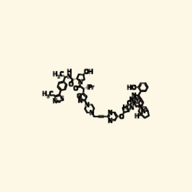 Cc1ncsc1-c1ccc([C@H](C)NC(=O)[C@@H]2C[C@@H](O)CN2C(=O)[C@@H](c2cc(N3CCN(CC#Cc4ncc(OC5CC(Oc6cc(N7C8CC[C@@H]7CN(c7cc(-c9ccccc9O)nnc7N)C8)ccn6)C5)cn4)CC3)no2)C(C)C)cc1